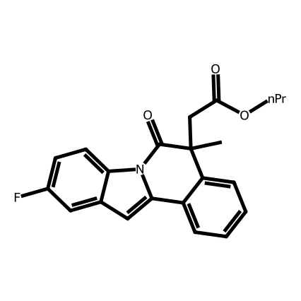 CCCOC(=O)CC1(C)C(=O)n2c(cc3cc(F)ccc32)-c2ccccc21